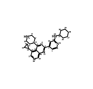 c1cc(-c2nc(N3CCNCC3)c3c(C4CC4)cncc3n2)cc(NC2CCCCC2)n1